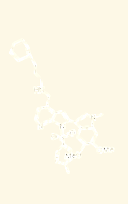 COc1cc2c(-c3cc4c(CNCCCc5ccccc5)ccnc4n3S(=O)(=O)c3ccc(C)cc3)cn(C)c2cc1OC